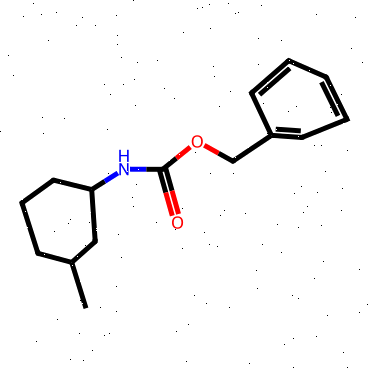 CC1CCCC(NC(=O)OCc2ccccc2)C1